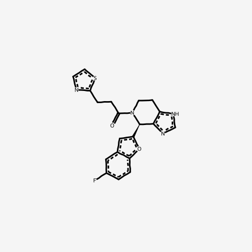 O=C(CCc1nccs1)N1CCc2[nH]cnc2[C@H]1c1cc2cc(F)ccc2o1